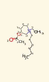 CC(=O)[O-].CCCCCC[N+]1(CC)CCCCC1